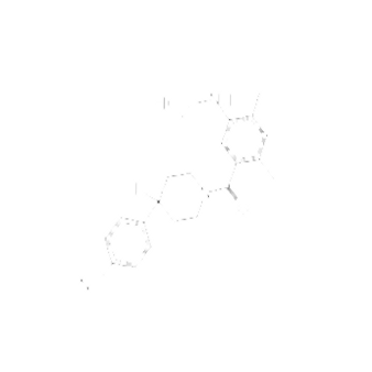 Cc1cc(C)c(C(=O)N2CCC(F)(c3ccc(C#N)cc3)CC2)cc1NC(=O)O